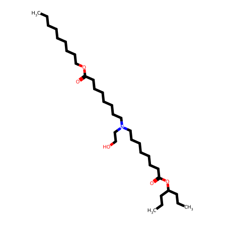 CCCCCCCCCOC(=O)CCCCCCCN(CCO)CCCCCCCC(=O)OC(CCC)CCC